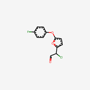 O=CC(Cl)c1ccc(Oc2ccc(F)cc2)o1